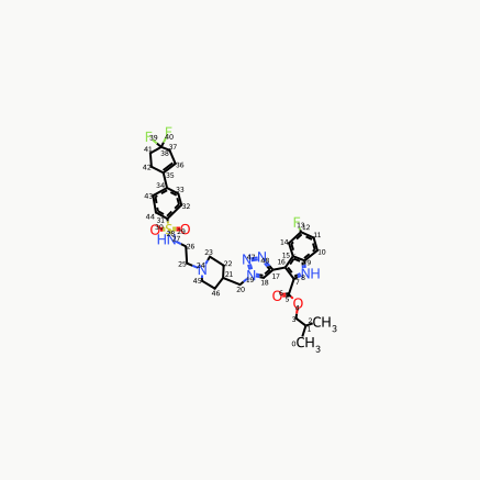 CC(C)COC(=O)c1[nH]c2ccc(F)cc2c1-c1cn(CC2CCN(CCNS(=O)(=O)c3ccc(C4=CCC(F)(F)CC4)cc3)CC2)nn1